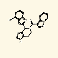 O=C(c1cnn2ccccc12)N1CCc2[nH]cnc2[C@H]1c1nc2cccc(Br)c2s1